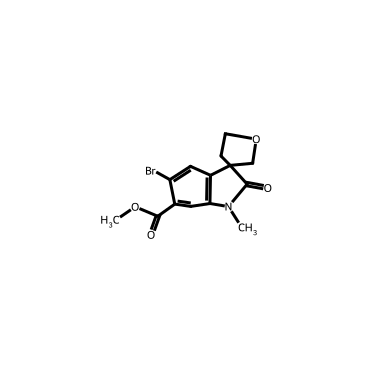 COC(=O)c1cc2c(cc1Br)C1(CCOC1)C(=O)N2C